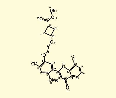 COc1cc(Cl)c(OCCO[C@H]2C[C@@H](C(=O)OC(C)(C)C)C2)cc1-c1cc(=O)c2cccc(Cl)c2o1